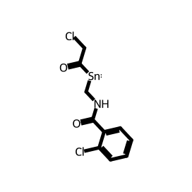 O=[C](CCl)[Sn][CH2]NC(=O)c1ccccc1Cl